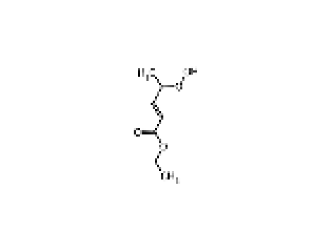 CCOC(=O)C=CC(C)OO